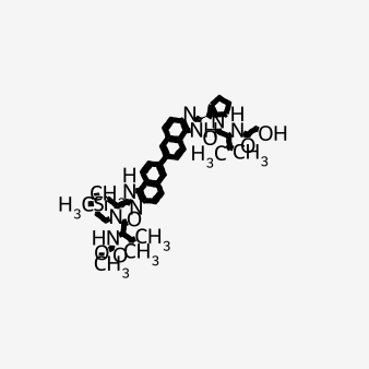 COC(=O)NC(C(=O)N1CC[Si](C)(C)CC1c1nc2ccc3cc(-c4ccc5c(ccc6nc([C@@H]7C8CCC(C8)N7C(=O)C(NC(=O)CO)C(C)C)[nH]c65)c4)ccc3c2[nH]1)C(C)C